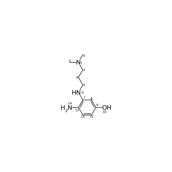 CN(C)CCCNc1cc(O)ccc1N